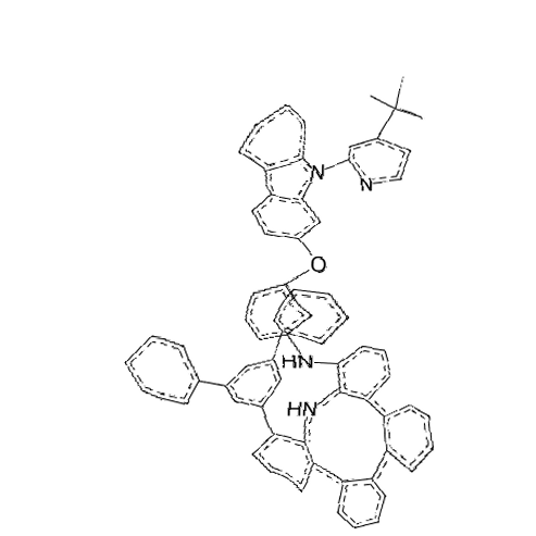 CC(C)(C)c1ccnc(-n2c3ccccc3c3ccc(Oc4cccc(Nc5cccc6c5[nH]c5c(-c7cc(-c8ccccc8)cc(-c8ccccc8)c7)cccc5c5ccccc5c5ccccc65)c4)cc32)c1